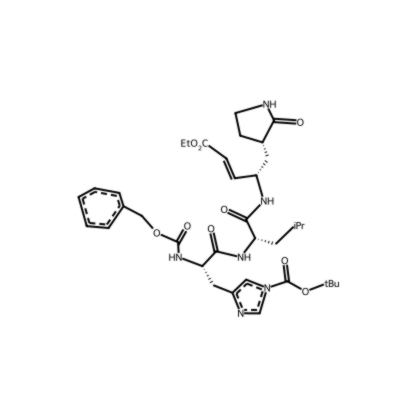 CCOC(=O)/C=C/[C@H](C[C@@H]1CCNC1=O)NC(=O)[C@H](CC(C)C)NC(=O)[C@H](Cc1cn(C(=O)OC(C)(C)C)cn1)NC(=O)OCc1ccccc1